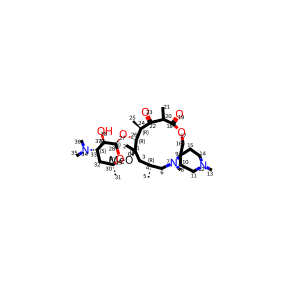 CO[C@]1(C)C[C@@H](C)CN(C)C2(CCN(C)CC2)COC(=O)C(C)C(=O)[C@H](C)[C@H]1O[C@@H]1O[C@H](C)C[C@H](N(C)C)[C@H]1O